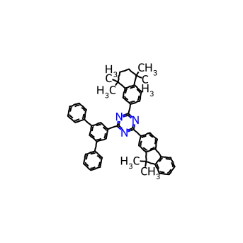 CC1(C)CCC(C)(C)c2cc(-c3nc(-c4cc(-c5ccccc5)cc(-c5ccccc5)c4)nc(-c4ccc5c(c4)C(C)(C)c4ccccc4-5)n3)ccc21